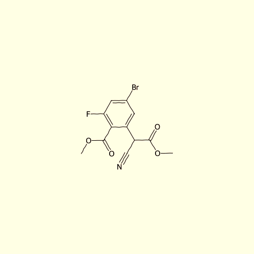 COC(=O)c1c(F)cc(Br)cc1C(C#N)C(=O)OC